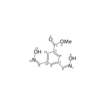 COC(=O)c1cc(/C=N\O)cc(/C=N\O)c1